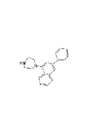 c1ccc(-c2cc(N3CCNCC3)c3ccccc3c2)cc1